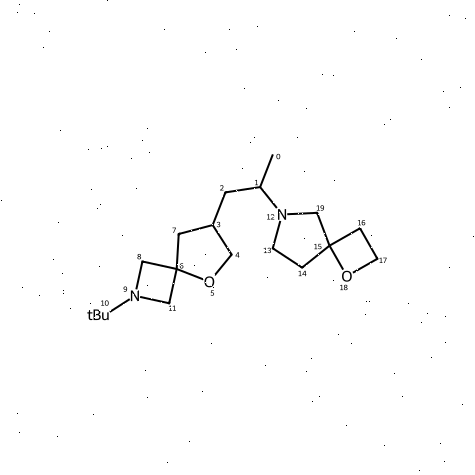 CC(CC1COC2(C1)CN(C(C)(C)C)C2)N1CCC2(CCO2)C1